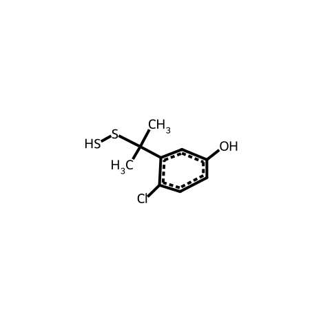 CC(C)(SS)c1cc(O)ccc1Cl